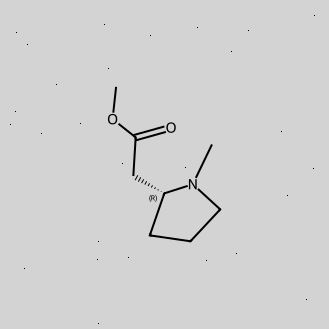 COC(=O)C[C@H]1CCCN1C